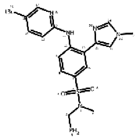 CN(CP)S(=O)(=O)c1ccc(Nc2ccc(C(C)(C)C)cn2)c(-c2cn(C)cn2)c1